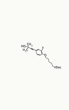 CCCCCCCCCCCCCCCOc1ccc(C#CC(C)(C)O)cc1F